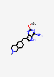 CCCCOc1nc(N)c2[nH]cc(CC3C=C4CCN(C)CC4=CC3)c2n1